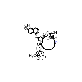 COc1ccc2c(O[C@@H]3C[C@H]4C(=O)N[C@]5(C(=O)O)C[C@H]5/C=C\CCCCC[C@H](NC(=O)OC(C)(C)C)C(=O)N4C3)nccc2c1